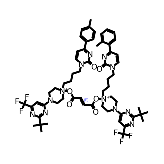 Cc1ccc(-c2ccn(CCCC[N+]3(OC(=O)/C=C/C(=O)O[N+]4(CCCCn5ccc(-c6ccccc6C)nc5=O)CCN(c5cc(C(F)(F)F)nc(C(C)(C)C)n5)CC4)CCN(c4cc(C(F)(F)F)nc(C(C)(C)C)n4)CC3)c(=O)n2)cc1